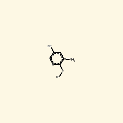 CC(C)Oc1ncc(C#N)cc1N